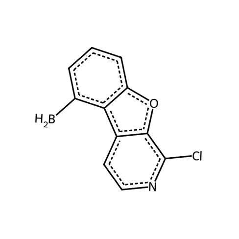 Bc1cccc2oc3c(Cl)nccc3c12